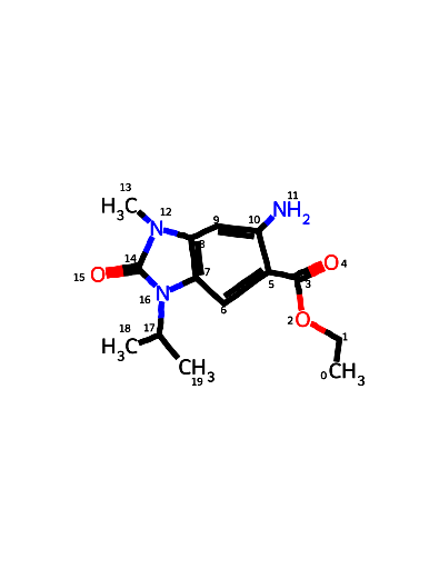 CCOC(=O)c1cc2c(cc1N)n(C)c(=O)n2C(C)C